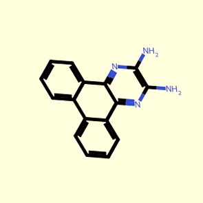 Nc1nc2c3ccccc3c3ccccc3c2nc1N